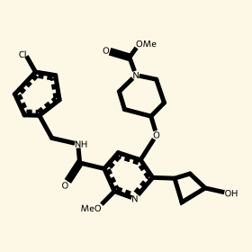 COC(=O)N1CCC(Oc2cc(C(=O)NCc3ccc(Cl)cc3)c(OC)nc2C2CC(O)C2)CC1